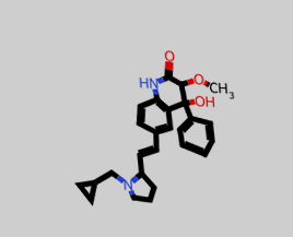 COC1C(=O)Nc2ccc(C=CC3CCCN3CC3CC3)cc2C1(O)c1ccccc1